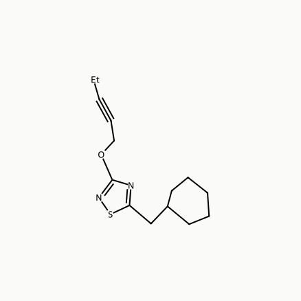 CCC#CCOc1nsc(CC2CCCCC2)n1